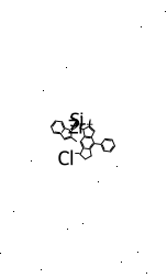 CC1=Cc2ccccc2[CH]1[Zr+]([CH]1C(C)=Cc2c1cc1c(c2-c2ccccc2)CCC1)=[Si](C)C.[Cl-]